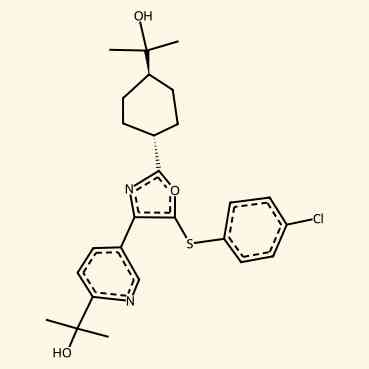 CC(C)(O)c1ccc(-c2nc([C@H]3CC[C@H](C(C)(C)O)CC3)oc2Sc2ccc(Cl)cc2)cn1